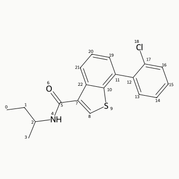 CCC(C)NC(=O)c1csc2c(-c3ccccc3Cl)cccc12